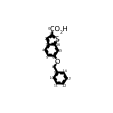 O=C(O)c1cc2ccc(OCc3ccccc3)cc2s1